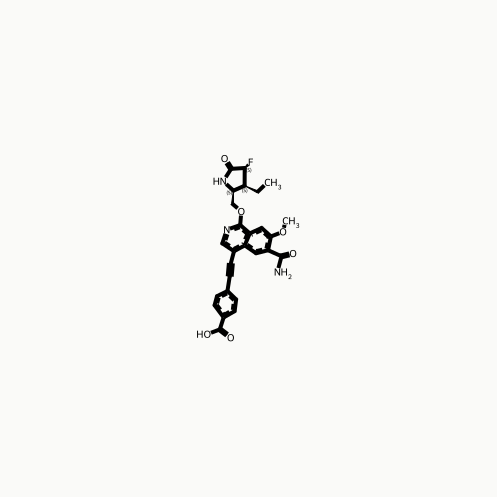 CC[C@@H]1[C@H](F)C(=O)N[C@@H]1COc1ncc(C#Cc2ccc(C(=O)O)cc2)c2cc(C(N)=O)c(OC)cc12